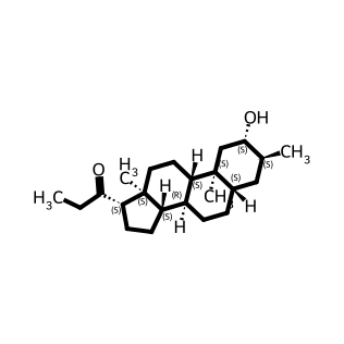 CCC(=O)[C@H]1CC[C@H]2[C@@H]3CC[C@H]4C[C@H](C)[C@@H](O)C[C@]4(C)[C@H]3CC[C@]12C